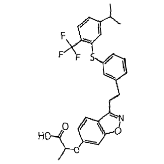 CC(Oc1ccc2c(CCc3cccc(Sc4cc(C(C)C)ccc4C(F)(F)F)c3)noc2c1)C(=O)O